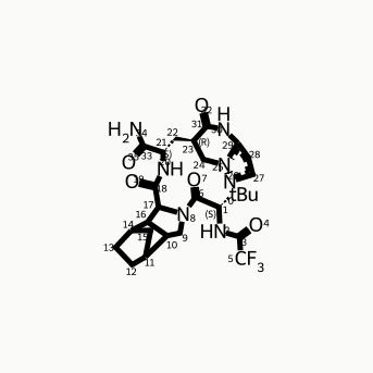 CC(C)(C)[C@H](NC(=O)C(F)(F)F)C(=O)N1CC2C3CCC(C3)C2C1C(=O)N[C@@H](C[C@@H]1Cn2nccc2NC1=O)C(N)=O